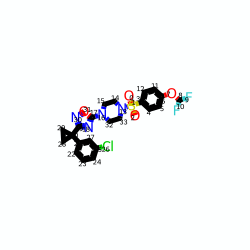 O=S(=O)(c1ccc(OC(F)F)cc1)N1CCN(c2nc(C3(c4cccc(Cl)c4)CC3)no2)CC1